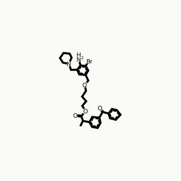 CC(C(=O)OCCCCOCc1cc(Br)c(N)c(CN2CCCCC2)c1)c1cccc(C(=O)c2ccccc2)c1